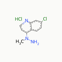 CN(N)c1ccnc2cc(Cl)ccc12.Cl